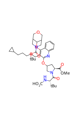 COC(=O)[C@@H]1CC(Oc2nc3ccccc3c(OC3C4COCC3CN(C(=O)OC(C)(C)C)C4)c2CCCCCC2CC2)CN1C(=O)[C@@H](NC(=O)O)C(C)(C)C